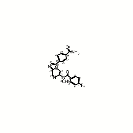 CN(C(=O)c1ccc(F)cc1)c1cn2c(-c3ccc(C(N)=O)cc3)cnc2cn1